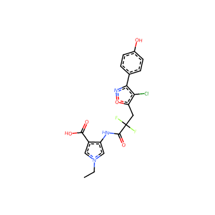 CCn1cc(NC(=O)C(F)(F)Cc2onc(-c3ccc(O)cc3)c2Cl)c(C(=O)O)c1